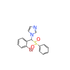 O=S(=O)(c1ccccc1)C(c1ccccc1Br)n1ccnc1